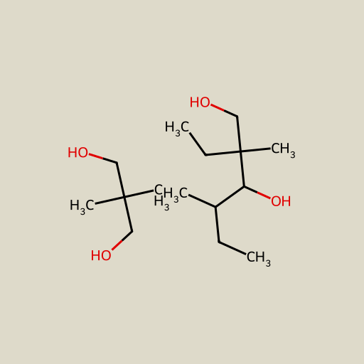 CC(C)(CO)CO.CCC(C)C(O)C(C)(CC)CO